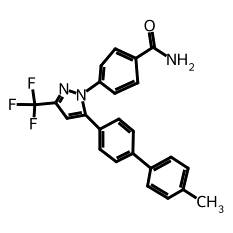 Cc1ccc(-c2ccc(-c3cc(C(F)(F)F)nn3-c3ccc(C(N)=O)cc3)cc2)cc1